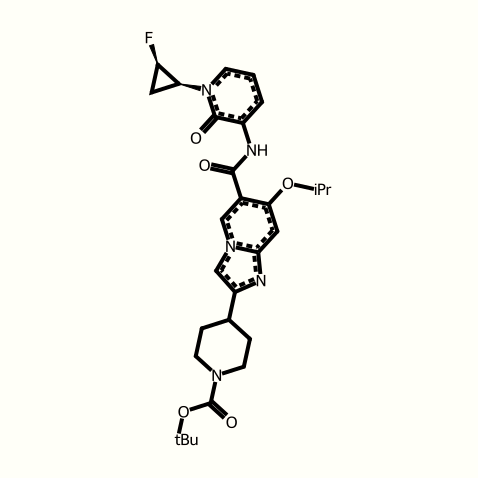 CC(C)Oc1cc2nc(C3CCN(C(=O)OC(C)(C)C)CC3)cn2cc1C(=O)Nc1cccn([C@H]2C[C@H]2F)c1=O